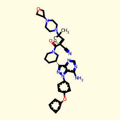 CC(C)(/C=C(/C#N)C(=O)N1CCC[C@@H](c2nn(-c3ccc(Oc4ccccc4)cc3)c3c(N)ncnc23)C1)N1CCN(C2COC2)CC1